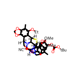 CCOc1c(C)c2c(c3c1[C@H]1SC[C@]4(NCCc5cc(OC(=O)OC(C)(C)C)c(OC)cc54)C(=O)OC[C@@H]3N3C1[C@@H]1c4c(cc(C)c(OC)c4O)C[C@@H]([C@@H]3C#N)N1C)OCO2